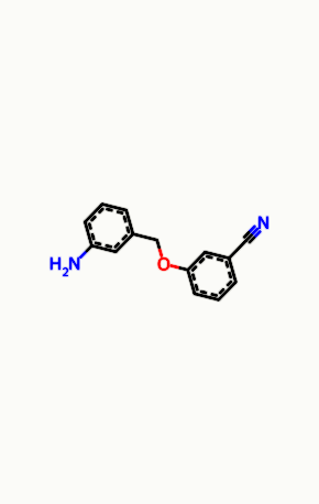 N#Cc1cccc(OCc2cccc(N)c2)c1